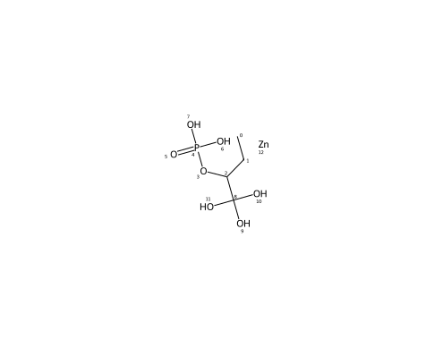 CCC(OP(=O)(O)O)C(O)(O)O.[Zn]